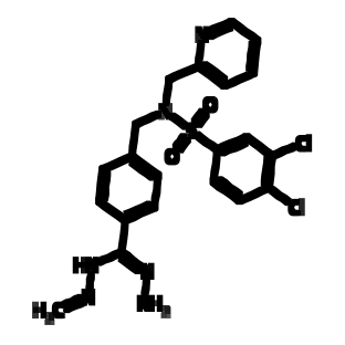 C=NN/C(=N\N)c1ccc(CN(Cc2ccccn2)S(=O)(=O)c2ccc(Cl)c(Cl)c2)cc1